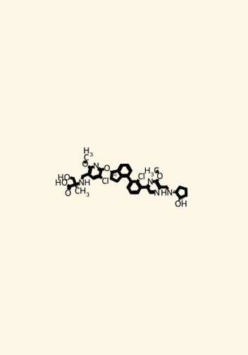 COc1nc(O[C@H]2CCc3c(-c4cccc(-c5cnc(CN[C@@H]6CCC[C@@H]6O)c(OC)n5)c4Cl)cccc32)c(Cl)cc1CN[C@@](C)(CO)C(=O)O